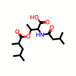 CC(C)CC(=O)NC(C(=O)O)C(C)OC(=O)C(C)CC(C)C